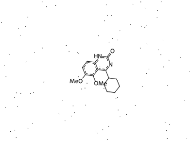 COc1ccc2[nH]c(=O)nc(C3CCCCC3)c2c1OC